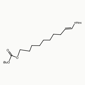 CCCCCC/C=C/CCCCCCCCOC(=O)OCC(C)C